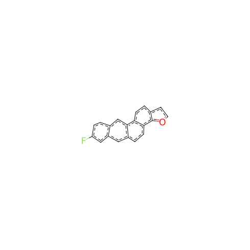 Fc1ccc2cc3c(ccc4c3ccc3ccoc34)cc2c1